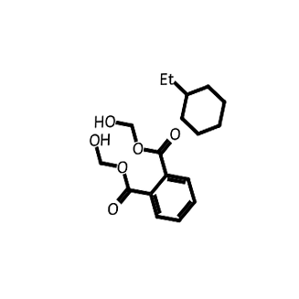 CCC1CCCCC1.O=C(OCO)c1ccccc1C(=O)OCO